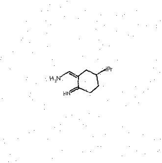 CC(C)C1CCC(=N)/C(=C\N)C1